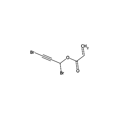 C=CC(=O)OC(Br)C#CBr